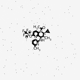 CC(=O)N1c2ccc(OS(=O)(=O)C(F)(F)F)nc2C(Nc2cccc(C)n2)[C@@H](C)[C@@H]1C1CC1